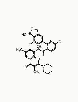 Cc1cc([C@@H](C)Nc2ccc(Cl)nc2-c2cc(F)c3c(c2)COB3O)c2oc(N3CCCCC3)c(C)c(=O)c2c1